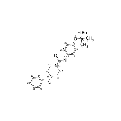 CC(C)(C)[Si](C)(C)Oc1ccc(NC(=O)N2CCN(Cc3ccccc3)CC2)nc1